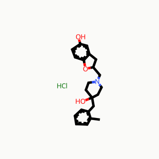 Cc1ccccc1CC1(O)CCN(CC2Cc3cc(O)ccc3O2)CC1.Cl